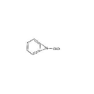 O=[C]N1c2ccccc21